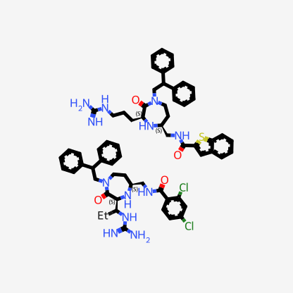 CCC(NC(=N)N)[C@@H]1N[C@H](CNC(=O)c2ccc(Cl)cc2Cl)CCN(CC(c2ccccc2)c2ccccc2)C1=O.N=C(N)NCCC[C@@H]1N[C@H](CNC(=O)c2cc3ccccc3s2)CCN(CC(c2ccccc2)c2ccccc2)C1=O